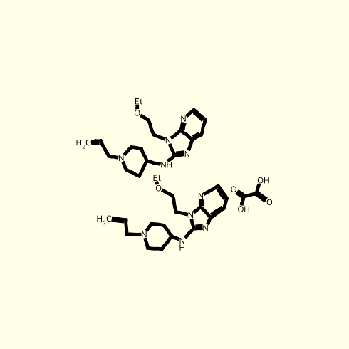 C=CCN1CCC(Nc2nc3cccnc3n2CCOCC)CC1.C=CCN1CCC(Nc2nc3cccnc3n2CCOCC)CC1.O=C(O)C(=O)O